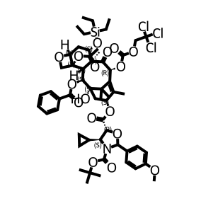 CC[Si](CC)(CC)O[C@H]1C[C@H]2OC[C@@]2(OC(C)=O)[C@H]2[C@H](OC(=O)c3ccccc3)[C@]3(O)C[C@H](OC(=O)[C@@H]4OC(c5ccc(OC)cc5)N(C(=O)OC(C)(C)C)[C@H]4C4CC4)C(C)=C([C@@H](OC(=O)OCC(Cl)(Cl)Cl)C(=O)[C@]12C)C3(C)C